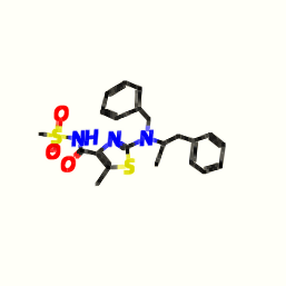 Cc1sc(N(Cc2ccccc2)C(C)Cc2ccccc2)nc1C(=O)NS(C)(=O)=O